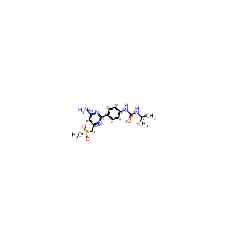 CC(C)NC(=O)Nc1ccc(-c2nc(N)cc(CS(C)(=O)=O)n2)cc1